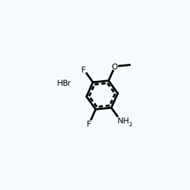 Br.COc1cc(N)c(F)cc1F